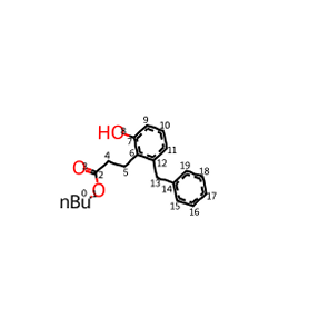 CCCCOC(=O)CCc1c(O)cccc1Cc1ccccc1